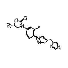 CC[C@H]1CN(c2ccc(-n3cc(Cn4cncn4)cn3)c(F)c2)C(=O)O1